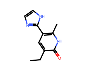 CCc1cc(-c2ncc[nH]2)c(C)[nH]c1=O